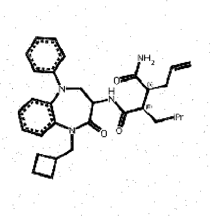 C=CC[C@H](C(N)=O)[C@@H](CC(C)C)C(=O)NC1CN(c2ccccc2)c2ccccc2N(CC2CCC2)C1=O